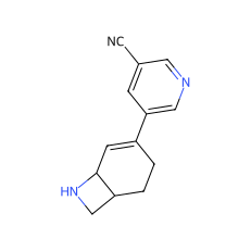 N#Cc1cncc(C2=CC3NCC3CC2)c1